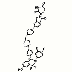 O=C1CC[C@H](N2Cc3cc(N4CCN(CC5CCN(c6ccc([C@H]7c8ccc(O)cc8C(F)(F)C[C@H]7c7ccc(F)c(F)c7)cc6)CC5)CC4)ccc3C2=O)C(=O)N1